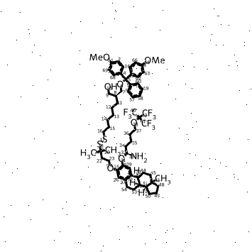 COc1ccc(C(OC[C@H](CO)CCCCCCSSC(C)(C)CCOc2cc3c(cc2O[C@H](N)CCCCOC(C(F)(F)F)(C(F)(F)F)C(F)(F)F)[C@H]2CC[C@]4(C)CCC[C@H]4[C@@H]2CC3)(c2ccccc2)c2ccc(OC)cc2)cc1